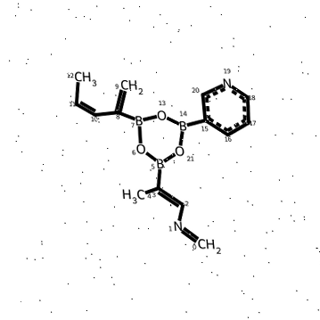 C=N/C=C(\C)B1OB(C(=C)/C=C\C)OB(c2cccnc2)O1